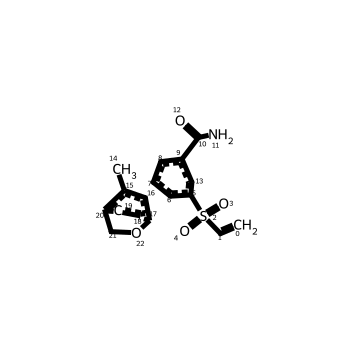 C=CS(=O)(=O)c1cccc(C(N)=O)c1.Cc1cc2ccc1CO2